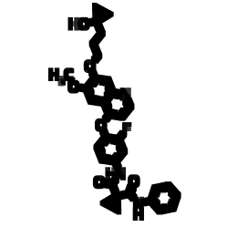 COc1cc2c(Oc3ccc(NC(=O)C4(C(=O)Nc5ccccc5)CC4)cc3F)ccnc2cc1OCCCC1(O)CC1